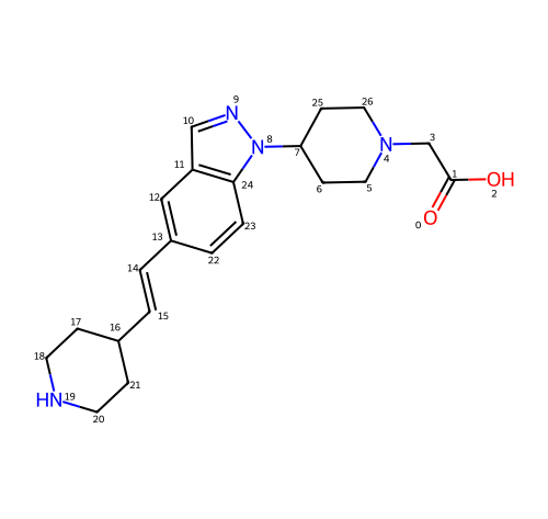 O=C(O)CN1CCC(n2ncc3cc(/C=C/C4CCNCC4)ccc32)CC1